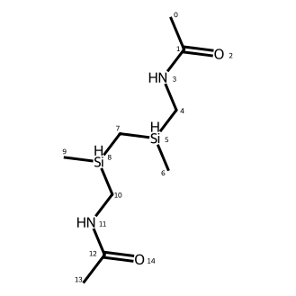 CC(=O)NC[SiH](C)C[SiH](C)CNC(C)=O